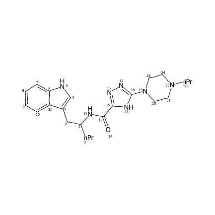 CCCC(Cc1c[nH]c2ccccc12)NC(=O)c1nnc(N2CCN(C(C)C)CC2)[nH]1